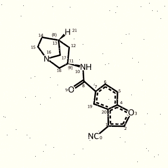 N#Cc1coc2ccc(C(=O)N[C@@H]3C[C@H]4CCN(C4)C3)cc12